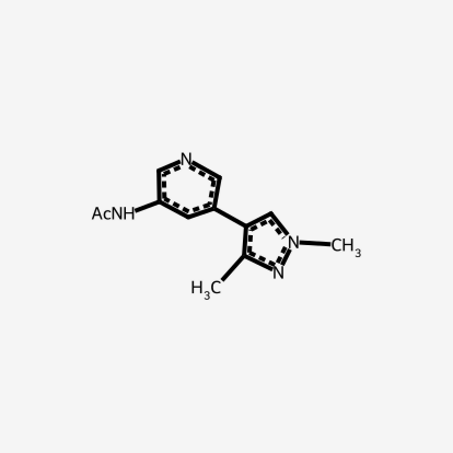 CC(=O)Nc1cncc(-c2cn(C)nc2C)c1